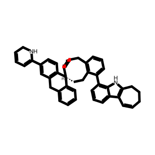 C1=CCNC(c2ccc3c(c2)Cc2ccccc2[C@@]32CCc3c(cccc3-c3cccc4c5c([nH]c34)CCCC=C5)Cc3ccccc32)=C1